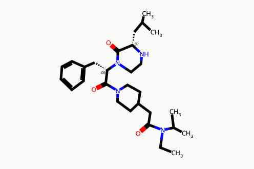 CCN(C(=O)CC1CCN(C(=O)[C@H](Cc2ccccc2)N2CCN[C@@H](CC(C)C)C2=O)CC1)C(C)C